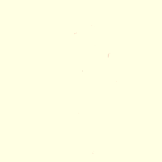 CC(Br)C(=O)OC1C2CC3CC(C2)C(=O)OC1C3